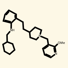 COc1ncccc1CN1CCC(CCc2ccccc2NCC2CCCCC2)CC1